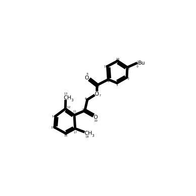 CCC(C)c1ccc(C(=O)OCC(=O)c2c(C)cccc2C)cc1